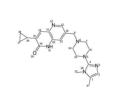 Cc1cnc(N2CCN(Cc3cnc4cc(C5CC5)c(=O)[nH]c4c3)CC2)n1C